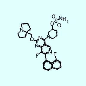 NS(=O)(=O)OC1CCCN(c2nc(OCC34CCCN3CCC4)nc3c(F)c(-c4cccc5cccc(F)c45)ncc23)C1